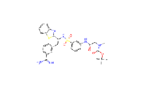 CN(CC(=O)Nc1cccc(S(=O)(=O)NC(Cc2cccc(C(=N)N)c2)c2nc3ccccc3s2)c1)C(=O)OC(C)(C)C